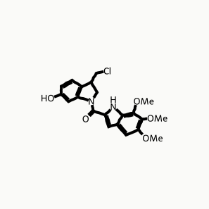 COc1cc2cc(C(=O)N3CC(CCl)c4ccc(O)cc43)[nH]c2c(OC)c1OC